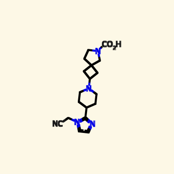 N#CCn1ccnc1C1CCN(C2CC3(CCN(C(=O)O)C3)C2)CC1